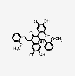 COc1ccccc1CCC(C(=O)C(CCc1ccccc1OC)c1cc(Cl)c(O)cc1O)c1cc(Cl)c(O)cc1O